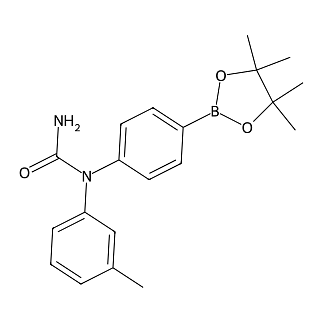 Cc1cccc(N(C(N)=O)c2ccc(B3OC(C)(C)C(C)(C)O3)cc2)c1